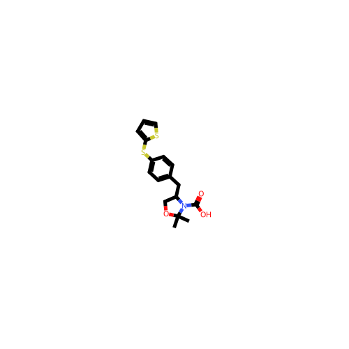 CC1(C)OCC(Cc2ccc(Sc3cccs3)cc2)N1C(=O)O